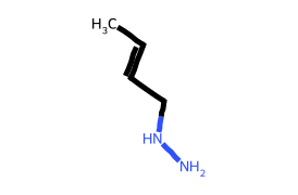 CC=CCNN